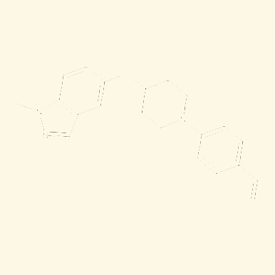 Cn1ncc2cc(OC3CCN(c4ccc(C=O)cc4)CC3)ccc21